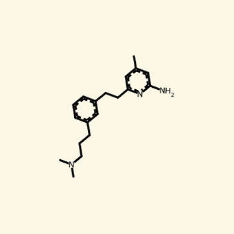 Cc1cc(N)nc(CCc2cccc(CCCN(C)C)c2)c1